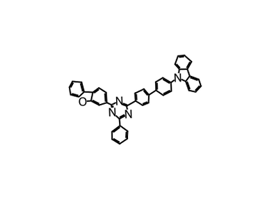 c1ccc(-c2nc(-c3ccc(-c4ccc(-n5c6ccccc6c6ccccc65)cc4)cc3)nc(-c3ccc4c(c3)oc3ccccc34)n2)cc1